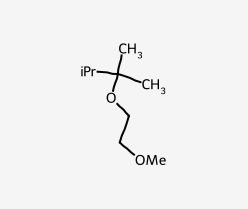 COCCOC(C)(C)C(C)C